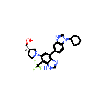 OC[C@H]1CCN(c2cc(-c3ccc4c(c3)ncn4C3CCCCC3)c3nc[nH]c3c2C(F)(F)F)C1